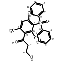 Cc1cc(C)c(P(=O)(c2ccccc2)c2ccccc2)c(C)c1C(=O)CCCl